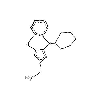 O=C(O)Cn1cc2c(n1)N(C1CCCCC1)c1ccccc1O2